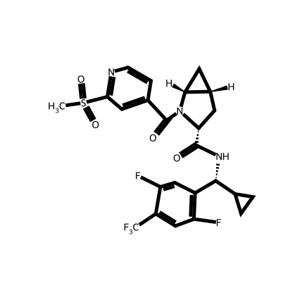 CS(=O)(=O)c1cc(C(=O)N2[C@@H](C(=O)N[C@@H](c3cc(F)c(C(F)(F)F)cc3F)C3CC3)C[C@H]3C[C@H]32)ccn1